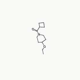 CCOC1CCN(C(=O)C2CCC2)CC1